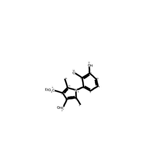 CCOC(=O)c1c(C=O)c(C)n(-c2cccc(O)c2Cl)c1C